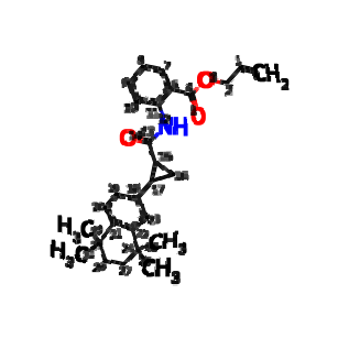 C=CCOC(=O)c1ccccc1NC(=O)C1CC1c1ccc2c(c1)C(C)(C)CCC2(C)C